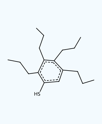 CCCc1cc(S)c(CCC)c(CCC)c1CCC